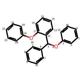 c1ccc(O[C](c2ccccc2)c2ccccc2Oc2ccccc2)cc1